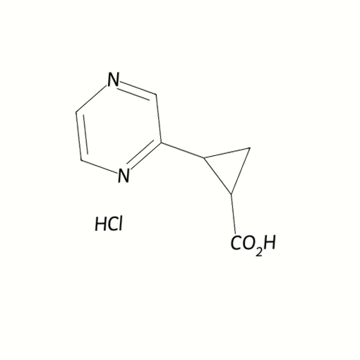 Cl.O=C(O)C1CC1c1cnccn1